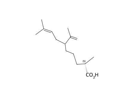 C=C(C)C(CC=C(C)C)CCC[C@H](C)C(=O)O